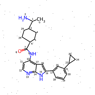 CC(N)C1CCC(C(=O)Nc2ccnc3[nH]c(-c4cccc(C5CC5)c4)cc23)CC1